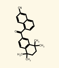 CC1(C)CCC(C)(C)c2cc(C(=O)c3cccc4cc(C#N)ccc34)ccc21